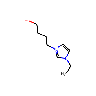 CCn1cc[n+](CCCCO)c1